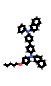 C=CCCCOc1ccc(N(c2ccc(-c3ccc(N(c4ccccc4)c4ccc5ccccc5c4)cc3)cc2)c2ccc3ccccc3c2)cc1